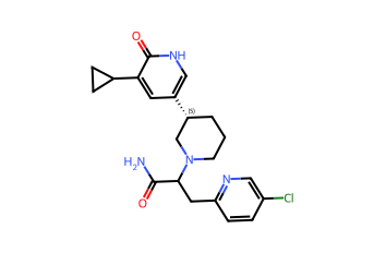 NC(=O)C(Cc1ccc(Cl)cn1)N1CCC[C@@H](c2c[nH]c(=O)c(C3CC3)c2)C1